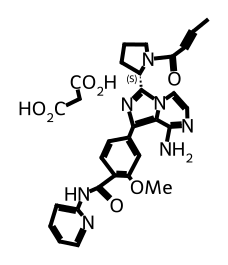 CC#CC(=O)N1CCC[C@H]1c1nc(-c2ccc(C(=O)Nc3ccccn3)c(OC)c2)c2c(N)nccn12.O=C(O)CC(=O)O